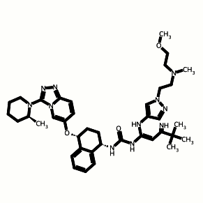 COCCN(C)CCn1cc(N/C(=C\C(=N)C(C)(C)C)NC(=O)N[C@H]2CC[C@@H](Oc3ccc4nnc(N5CCCC[C@@H]5C)n4c3)c3ccccc32)cn1